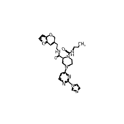 CCCNC(=O)N1CCN(c2ccnc(-n3ccnc3)n2)CC1C(=O)NCCC1=Cc2occc2OC1